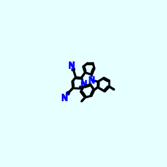 Cc1ccc2c(c1)c1cc(C)ccc1n2-c1ccccc1-c1ncc(C#N)cc1C#N